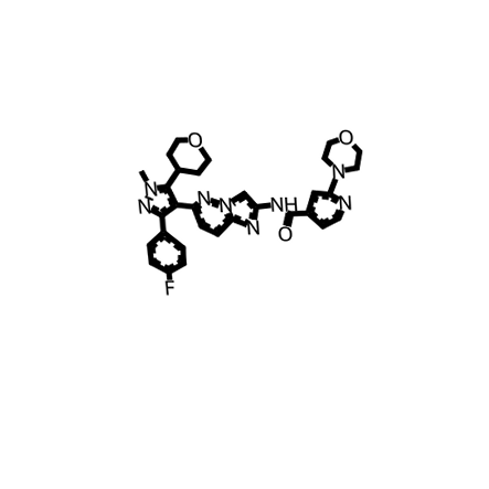 Cn1nc(-c2ccc(F)cc2)c(-c2ccc3nc(NC(=O)c4ccnc(N5CCOCC5)c4)cn3n2)c1C1CCOCC1